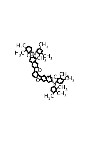 Cc1cc(C)c(C)c(N(c2ccc3cc4c(cc3c2)oc2c4ccc3oc4cc5cc(N(c6ccc(C)c(C)c6C)c6ccc(C)c(C)c6C)ccc5cc4c32)c2ccc(C)c(C)c2C)c1